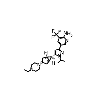 CCN1CCN([C@@H]2C[C@@H]3[C@H](C2)[C@H]3c2cc(-c3cnc(N)c(C(F)(F)F)c3)nn2C(C)C)CC1